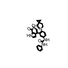 Cn1cc(-c2cc(NC(=O)Nc3ccccc3)ccc2N2CCC3(CC2)CC3)c2cc[nH]c2c1=O